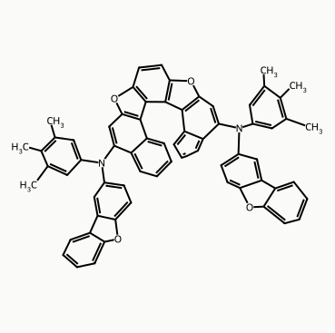 Cc1cc(N(c2ccc3oc4ccccc4c3c2)c2cc3oc4ccc5oc6cc(N(c7cc(C)c(C)c(C)c7)c7ccc8oc9ccccc9c8c7)c7ccccc7c6c5c4c3c3ccccc23)cc(C)c1C